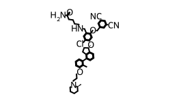 Cc1c(OCCCN2CCCC[C@@H]2C)cccc1-c1cccc2c1CC[C@@H]2Oc1cc(OCc2cc(C#N)cc(C#N)c2)c(CNCCCCC(N)=O)cc1Cl